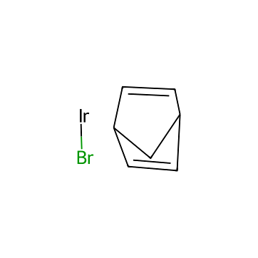 C1=CC2C=CC1C2.[Br][Ir]